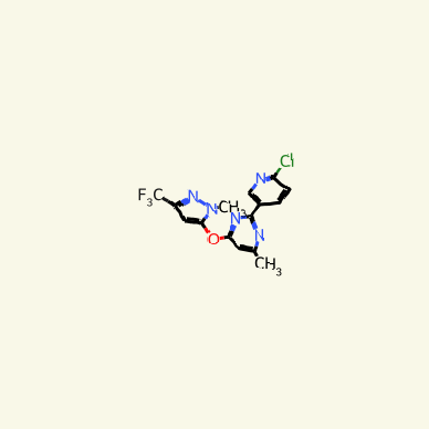 Cc1cc(Oc2cc(C(F)(F)F)nn2C)nc(-c2ccc(Cl)nc2)n1